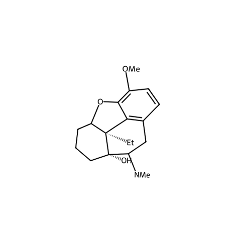 CC[C@@]12c3c4ccc(OC)c3OC1CCC[C@]2(O)C(NC)C4